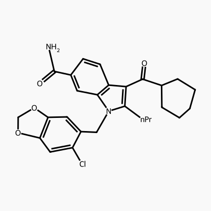 CCCc1c(C(=O)C2CCCCC2)c2ccc(C(N)=O)cc2n1Cc1cc2c(cc1Cl)OCO2